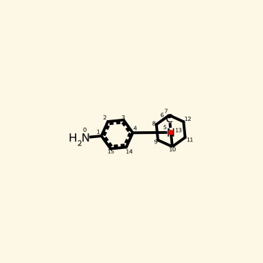 Nc1ccc(N2CC3CCC(CC3)C2)cc1